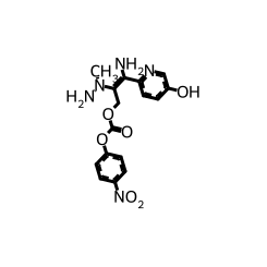 CN(N)/C(COC(=O)Oc1ccc([N+](=O)[O-])cc1)=C(\N)c1ccc(O)cn1